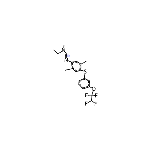 CCN(C)/C=N/c1cc(C)c(Sc2cccc(OC(F)(F)C(F)F)c2)cc1C